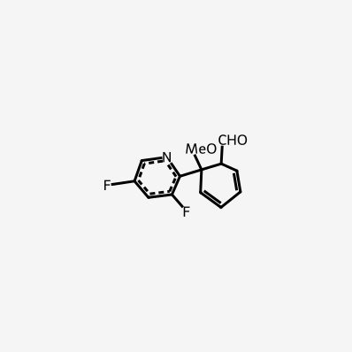 COC1(c2ncc(F)cc2F)C=CC=CC1C=O